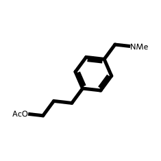 CNCc1ccc(CCCOC(C)=O)cc1